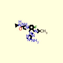 CC1CN(Cc2c(F)ccc(N3CCC(N)(C(=O)NC4CC4)C3)c2Cn2cnc3c(N)ncnc32)C1